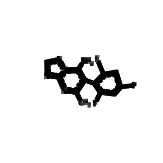 Cc1nc2ncnn2c(N)c1-c1c(F)cc(F)cc1F